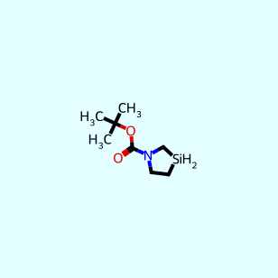 CC(C)(C)OC(=O)N1CC[SiH2]C1